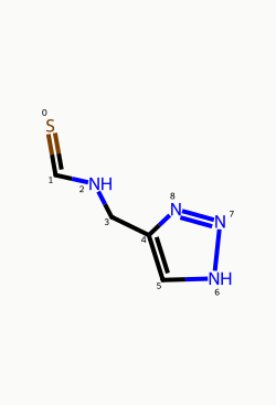 S=CNCc1c[nH]nn1